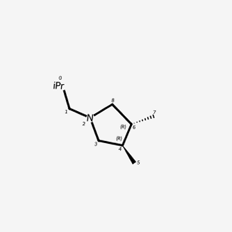 CC(C)CN1C[C@H](C)[C@@H](C)C1